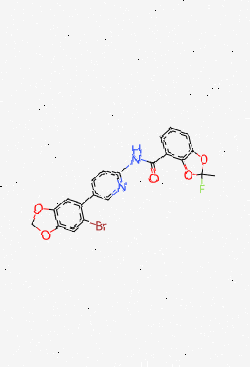 CC1(F)Oc2cccc(C(=O)Nc3ccc(-c4cc5c(cc4Br)OCO5)cn3)c2O1